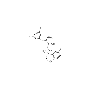 CC(=O)NC(Cc1cc(F)cc(F)c1)C(O)CNC1(C)CCOc2ccc(I)cc21